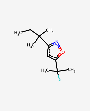 CCC(C)(C)c1cc(C(C)(C)F)on1